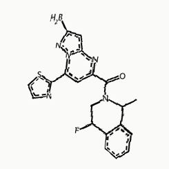 Bc1cc2nc(C(=O)N3CC(F)c4ccccc4C3C)cc(-c3nccs3)n2n1